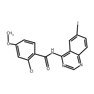 COc1ccc(C(=O)Nc2ncnc3ccc(I)cc23)c(Cl)c1